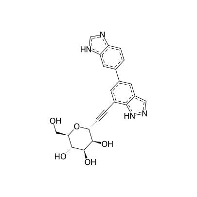 OC[C@H]1O[C@H](C#Cc2cc(-c3ccc4nc[nH]c4c3)cc3cn[nH]c23)[C@@H](O)[C@@H](O)[C@@H]1O